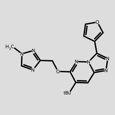 Cn1cnc(COc2nn3c(-c4ccoc4)nnc3cc2C(C)(C)C)n1